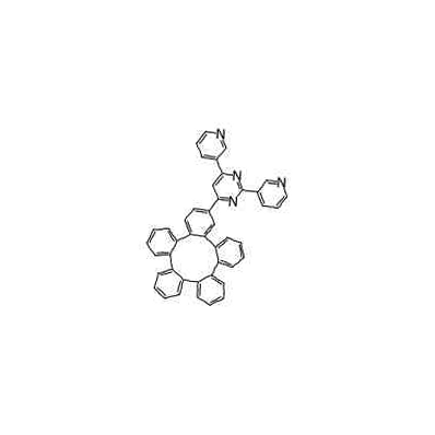 c1cncc(-c2cc(-c3ccc4c5ccccc5c5ccccc5c5ccccc5c5ccccc5c4c3)nc(-c3cccnc3)n2)c1